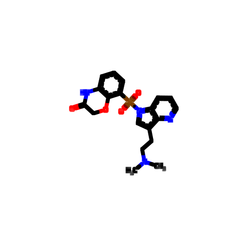 CN(C)CCc1cn(S(=O)(=O)c2cccc3c2OCC(=O)N3)c2cccnc12